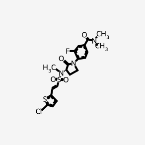 CN(C)C(=O)c1ccc(N2CC[C@H](N(C)S(=O)(=O)/C=C/c3ccc(Cl)s3)C2=O)c(F)c1